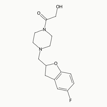 O=C(CO)N1CCN(CC2Cc3cc(F)ccc3O2)CC1